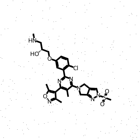 CNC[C@@H](O)COc1ccc(Cl)c(-c2nc(-c3c(C)noc3C)c(C)c(N3Cc4cn(S(C)(=O)=O)nc4C3)n2)c1